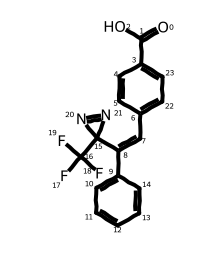 O=C(O)c1ccc(C=C(c2ccccc2)C2(C(F)(F)F)N=N2)cc1